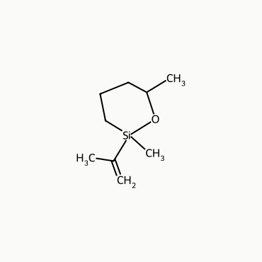 C=C(C)[Si]1(C)CCCC(C)O1